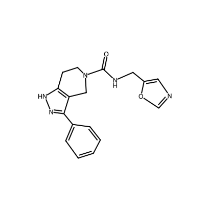 O=C(NCc1cnco1)N1CCc2[nH]nc(-c3ccccc3)c2C1